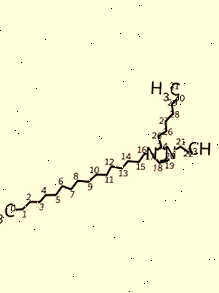 CCCCCCCCCCCCCCCCCN1C=CN(CCC)C1CCCCCCC